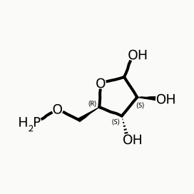 OC1O[C@H](COP)[C@@H](O)[C@@H]1O